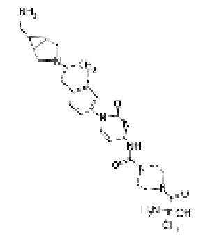 CC(Cc1ccc(-n2ccc(NC(=O)N3CCN(C(=O)C(C)(N)O)CC3)nc2=O)cc1F)N1CC2C(CN)C2C1